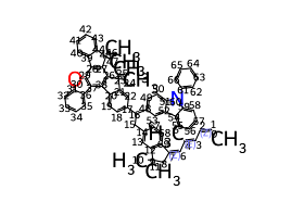 C\C=C/C=C(C)/C=C1/CC(C)(C)c2cc(CC(c3ccc4c(c3)C(C)(C)c3c5c(c6oc7ccccc7c6c3-4)-c3ccccc3C5(C)C)c3ccc4c(c3)c3ccccc3n4-c3ccccc3)ccc21